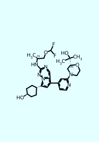 C[C@@H](COC(F)F)Nc1ncc2c(-c3ccnc(N4CCO[C@@H](C(C)(C)O)C4)c3)cc([C@H]3CC[C@H](O)CC3)n2n1